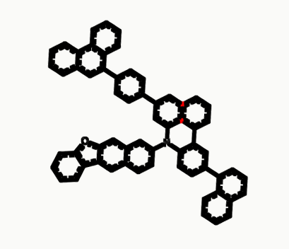 c1ccc(-c2cc(-c3cccc4ccccc34)ccc2N(c2cccc(-c3ccc(-c4cc5ccccc5c5ccccc45)cc3)c2)c2ccc3cc4c(cc3c2)oc2ccccc24)cc1